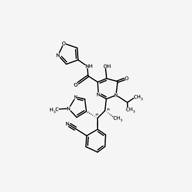 CC(C)n1c([C@H](C)[C@@H](c2cnn(C)c2)c2ccccc2C#N)nc(C(=O)Nc2cnoc2)c(O)c1=O